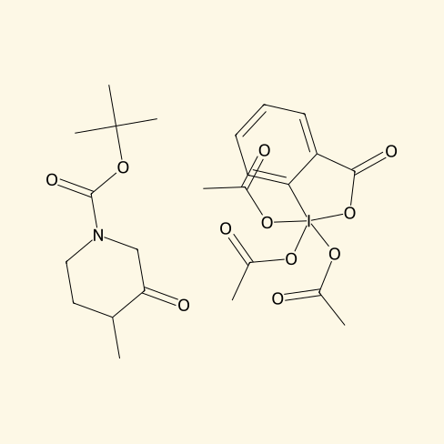 CC(=O)OI1(OC(C)=O)(OC(C)=O)OC(=O)c2ccccc21.CC1CCN(C(=O)OC(C)(C)C)CC1=O